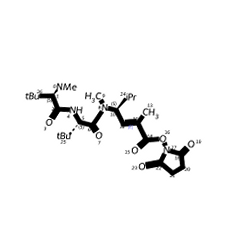 CN[C@H](C(=O)N[C@H](C(=O)N(C)[C@H](/C=C(\C)C(=O)ON1C(=O)CCC1=O)C(C)C)C(C)(C)C)C(C)(C)C